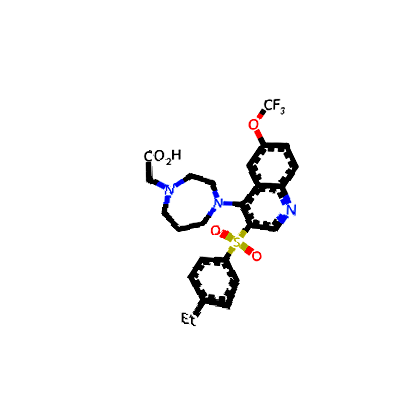 CCc1ccc(S(=O)(=O)c2cnc3ccc(OC(F)(F)F)cc3c2N2CCCN(CC(=O)O)CC2)cc1